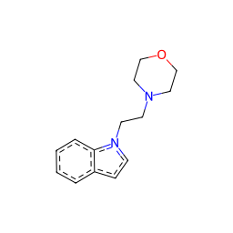 c1ccc2c(c1)ccn2CCN1CCOCC1